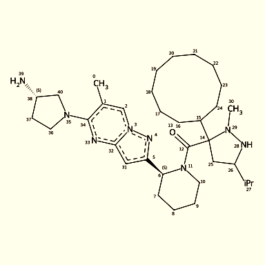 Cc1cn2nc([C@@H]3CCCCN3C(=O)C3(C4CCCCCCCCC4)CC(C(C)C)NN3C)cc2nc1N1CC[C@H](N)C1